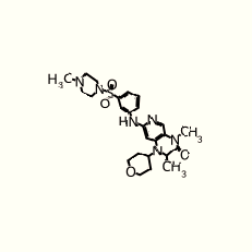 CC1C(=O)N(C)c2cnc(Nc3cccc(S(=O)(=O)N4CCN(C)CC4)c3)cc2N1C1CCOCC1